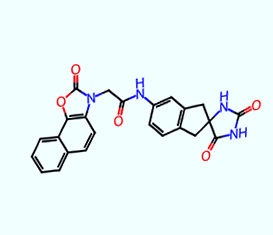 O=C(Cn1c(=O)oc2c3ccccc3ccc21)Nc1ccc2c(c1)CC1(C2)NC(=O)NC1=O